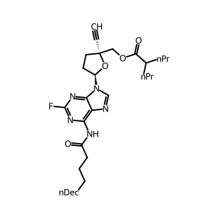 C#C[C@@]1(COC(=O)C(CCC)CCC)CC[C@H](n2cnc3c(NC(=O)CCCCCCCCCCCCC)nc(F)nc32)O1